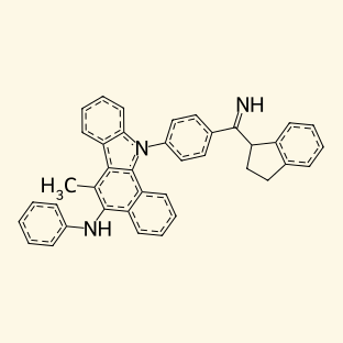 Cc1c(Nc2ccccc2)c2ccccc2c2c1c1ccccc1n2-c1ccc(C(=N)C2CCc3ccccc32)cc1